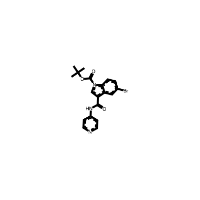 CC(C)(C)OC(=O)n1cc(C(=O)Nc2ccncc2)c2cc(Br)ccc21